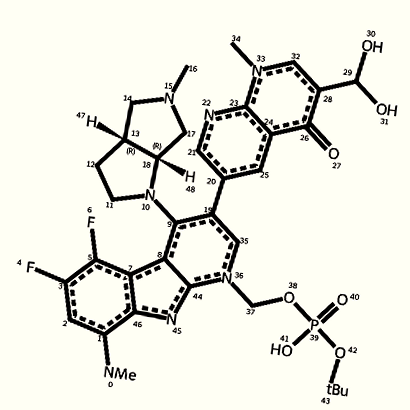 CNc1cc(F)c(F)c2c3c(N4CC[C@@H]5CN(C)C[C@@H]54)c(-c4cnc5c(c4)c(=O)c(C(O)O)cn5C)cn(COP(=O)(O)OC(C)(C)C)c-3nc12